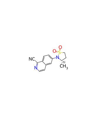 C[C@H]1CCS(=O)(=O)N1c1ccc2c(C#N)nccc2c1